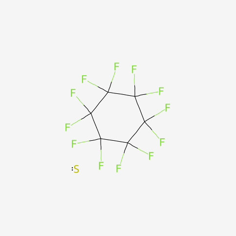 FC1(F)C(F)(F)C(F)(F)C(F)(F)C(F)(F)C1(F)F.[S]